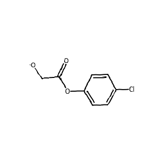 [O]CC(=O)Oc1ccc(Cl)cc1